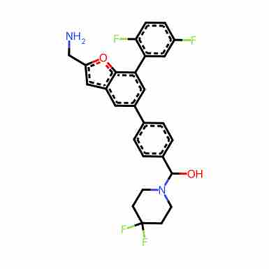 NCc1cc2cc(-c3ccc(C(O)N4CCC(F)(F)CC4)cc3)cc(-c3cc(F)ccc3F)c2o1